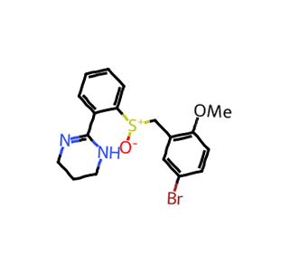 COc1ccc(Br)cc1C[S+]([O-])c1ccccc1C1=NCCCN1